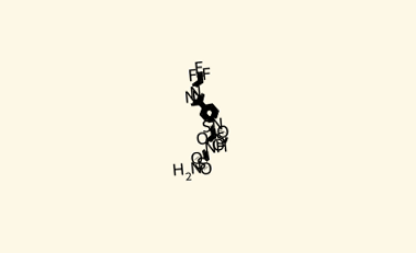 CS(=O)(=O)C(C(=O)NCCS(N)(=O)=O)c1nc2ccc(-c3cnn(CCC(F)(F)F)c3)cc2s1